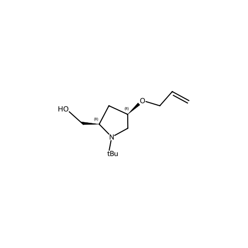 C=CCO[C@@H]1C[C@H](CO)N(C(C)(C)C)C1